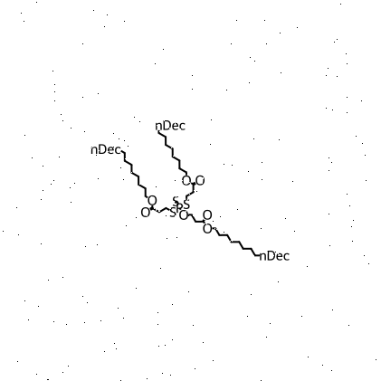 CCCCCCCCCCCCCCCCCCOC(=O)CCOP(=S)(SCCC(=O)OCCCCCCCCCCCCCCCCCC)SCCC(=O)OCCCCCCCCCCCCCCCCCC